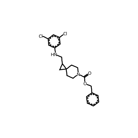 O=C(OCc1ccccc1)N1CCC2(CC1)CC2CNc1cc(Cl)cc(Cl)c1